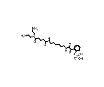 NCCN(CCN)C(=O)CCCC(=O)NCCCCCCNC(=O)C(F)c1ccccc1OP(=O)(O)O